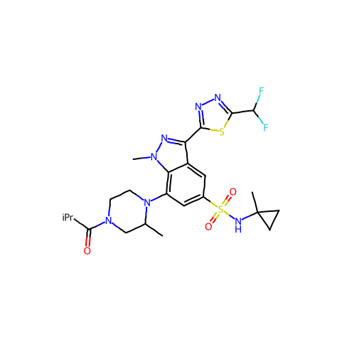 CC(C)C(=O)N1CCN(c2cc(S(=O)(=O)NC3(C)CC3)cc3c(-c4nnc(C(F)F)s4)nn(C)c23)C(C)C1